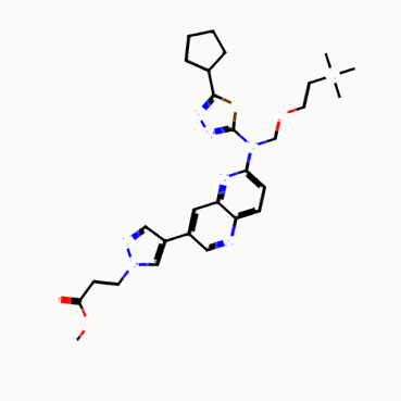 CC(C)(C)OC(=O)CCn1cc(-c2cnc3ccc(N(COCC[Si](C)(C)C)c4nnc(C5CCCC5)s4)nc3c2)cn1